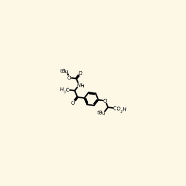 CC(NC(=O)OC(C)(C)C)C(=O)c1ccc(OC(C(=O)O)C(C)(C)C)cc1